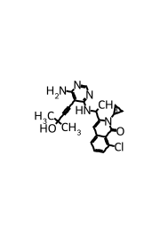 CC(Nc1ncnc(N)c1C#CC(C)(C)O)c1cc2cccc(Cl)c2c(=O)n1C1CC1